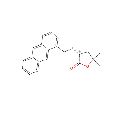 CC1(C)C[C@@H](SCc2cccc3cc4ccccc4cc23)C(=O)O1